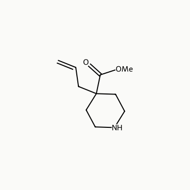 C=CCC1(C(=O)OC)CCNCC1